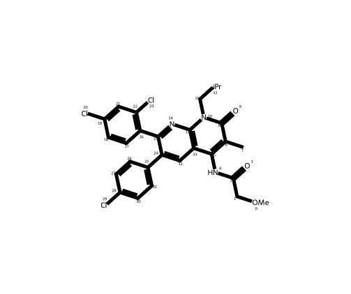 COCC(=O)Nc1c(C)c(=O)n(CC(C)C)c2nc(-c3ccc(Cl)cc3Cl)c(-c3ccc(Cl)cc3)cc12